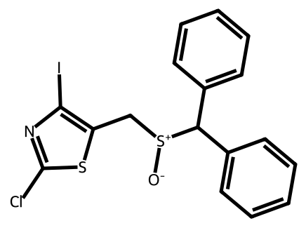 [O-][S+](Cc1sc(Cl)nc1I)C(c1ccccc1)c1ccccc1